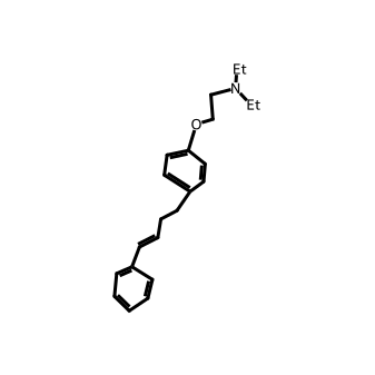 CCN(CC)CCOc1ccc(CCC=Cc2ccccc2)cc1